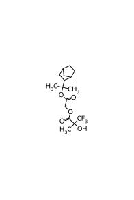 CC(C)(OC(=O)COC(=O)C(C)(O)C(F)(F)F)C1CC2CCC1C2